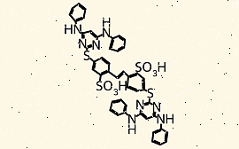 O=S(=O)(O)c1cc(Sc2nc(Nc3ccccc3)cc(Nc3ccccc3)n2)ccc1C=Cc1ccc(Sc2nc(Nc3ccccc3)cc(Nc3ccccc3)n2)cc1S(=O)(=O)O